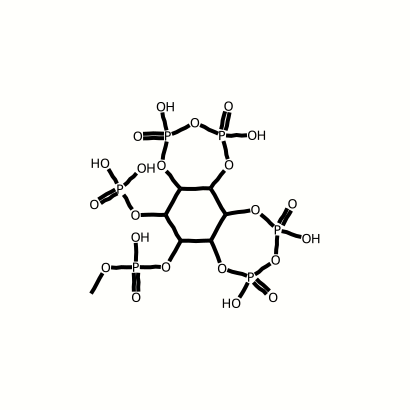 COP(=O)(O)OC1C(OP(=O)(O)O)C2OP(=O)(O)OP(=O)(O)OC2C2OP(=O)(O)OP(=O)(O)OC12